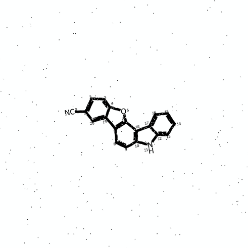 N#Cc1ccc2oc3c(ccc4[nH]c5ccccc5c43)c2c1